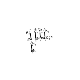 CCCCC.CCCCC.CCCCC.CCCCC.CCOC(C)=O